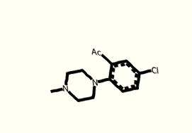 CC(=O)c1cc(Cl)ccc1N1CCN(C)CC1